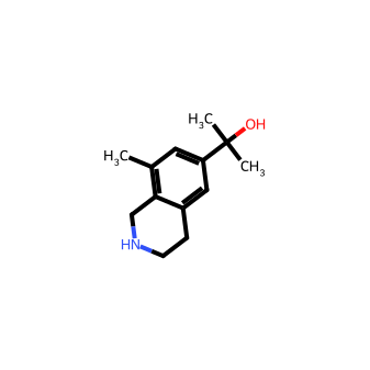 Cc1cc(C(C)(C)O)cc2c1CNCC2